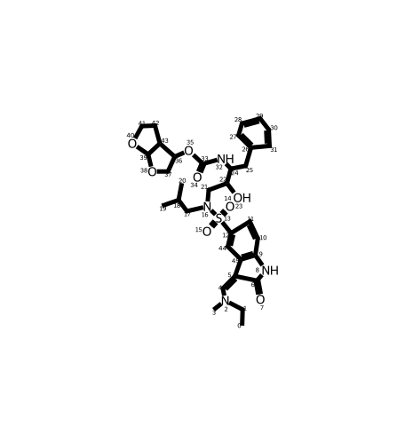 CCN(C)C=C1C(=O)Nc2ccc(S(=O)(=O)N(CC(C)C)CC(O)C(Cc3ccccc3)NC(=O)OC3COC4OCCC34)cc21